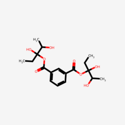 CCC(O)(OC(=O)c1cccc(C(=O)OC(O)(CC)C(C)O)c1)C(C)O